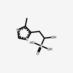 Cc1ncsc1CC(O)P(=O)(O)O